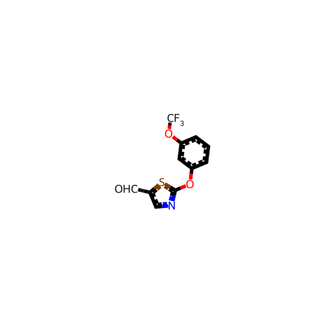 O=Cc1cnc(Oc2cccc(OC(F)(F)F)c2)s1